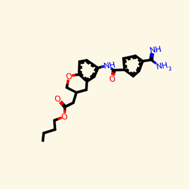 CCCCOC(=O)CC1COc2ccc(NC(=O)c3ccc(C(=N)N)cc3)cc2C1